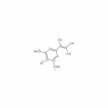 COc1cc(C(O)=C(C#N)C#N)cc(OC)c1Br